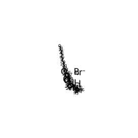 CCCCCCCCCCCCCCOc1ccc(CC(=O)Nc2ccccc2C[n+]2cc(C)cc(C)c2)c(Cl)c1.[Br-]